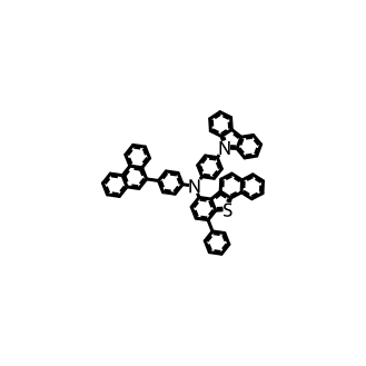 c1ccc(-c2ccc(N(c3ccc(-c4cc5ccccc5c5ccccc45)cc3)c3ccc(-n4c5ccccc5c5ccccc54)cc3)c3c2sc2c4ccccc4ccc23)cc1